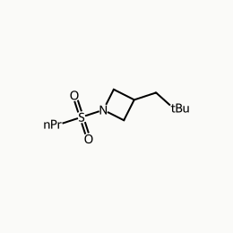 CCCS(=O)(=O)N1CC(CC(C)(C)C)C1